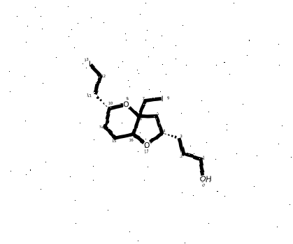 OCCC[C@H]1CC2(CI)O[C@@H](CCI)CCC2O1